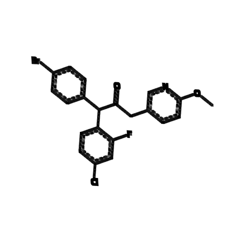 COc1ccc(CC(=O)C(c2ccc(Br)cc2)c2ccc(Cl)cc2F)cn1